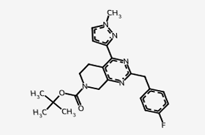 Cn1ccc(-c2nc(Cc3ccc(F)cc3)nc3c2CCN(C(=O)OC(C)(C)C)C3)n1